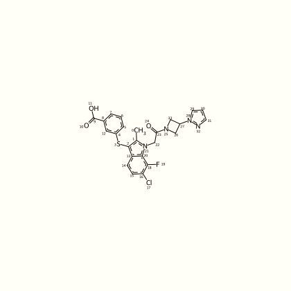 Cc1c(Sc2cccc(C(=O)O)c2)c2ccc(Cl)c(F)c2n1CC(=O)N1CC(n2cccn2)C1